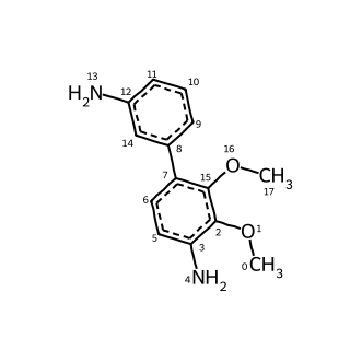 COc1c(N)ccc(-c2cccc(N)c2)c1OC